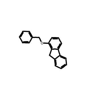 c1ccc(COc2cccc3c2Cc2ccccc2-3)cc1